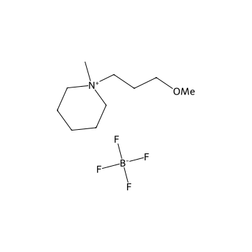 COCCC[N+]1(C)CCCCC1.F[B-](F)(F)F